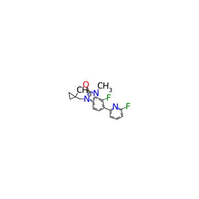 Cn1c(=O)n(CC2(C)CC2)c2ccc(-c3cccc(F)n3)c(F)c21